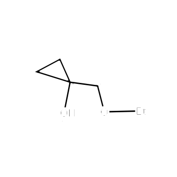 [CH2]COCC1(O)CC1